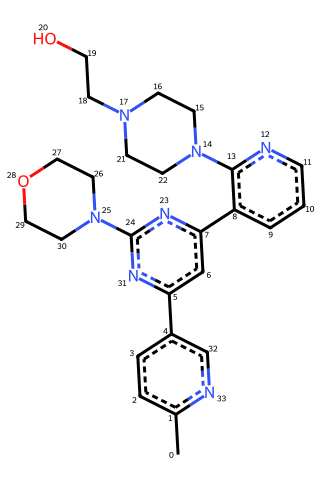 Cc1ccc(-c2cc(-c3cccnc3N3CCN(CCO)CC3)nc(N3CCOCC3)n2)cn1